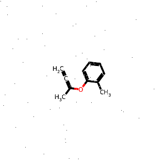 C=C=C(C)Oc1ccccc1C